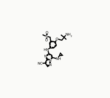 CC(C)(N)COc1ccc(Nc2cc(NC3CC3)n3ncc(C#N)c3n2)cc1CS(C)(=O)=O